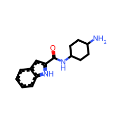 NC1CCC(NC(=O)c2cc3ccccc3[nH]2)CC1